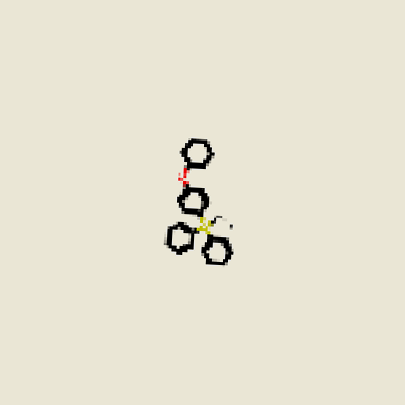 CS(C1=CCCC=C1)(c1ccccc1)c1ccc(OC2CCCCC2)cc1